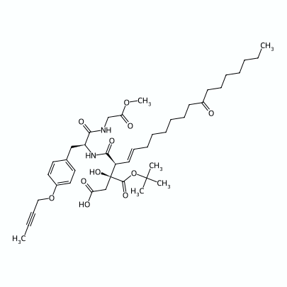 CC#CCOc1ccc(C[C@H](NC(=O)[C@@H](/C=C/CCCCCCC(=O)CCCCCCC)[C@@](O)(CC(=O)O)C(=O)OC(C)(C)C)C(=O)NCC(=O)OC)cc1